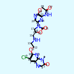 Cn1c(=O)cnc2cc(Cl)c(OCCNC[C@H]3CN(c4cnc5c(n4)NC(=O)CO5)C(=O)O3)nc21